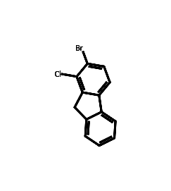 Clc1c(Br)ccc2c1Cc1ccccc1-2